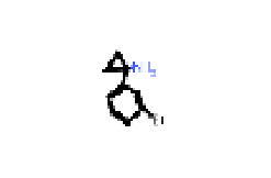 CCc1cccc(C2(N)CC2)c1